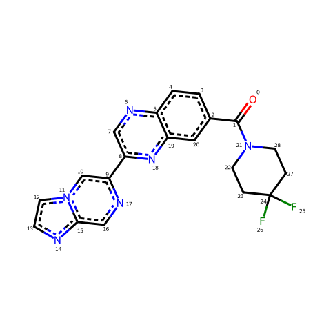 O=C(c1ccc2ncc(-c3cn4ccnc4cn3)nc2c1)N1CCC(F)(F)CC1